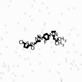 CN(C)Cc1nccn1-c1ccc(-n2cc(CNC(=O)C3=CCC(Cl)S3)nn2)c(F)c1